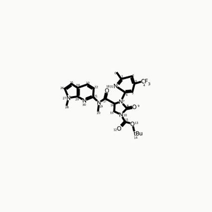 Cc1cc(C(F)(F)F)cc(N2C(=O)N(C(=O)OC(C)(C)C)CC2C(=O)N(C)c2ccc3ccn(C)c3n2)n1